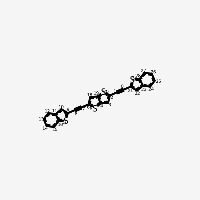 C(#Cc1cc2sc(C#Cc3cc4ccccc4s3)cc2s1)c1cc2ccccc2s1